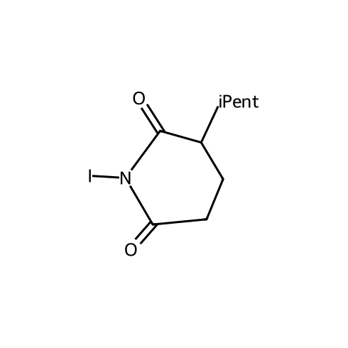 CCCC(C)C1CCC(=O)N(I)C1=O